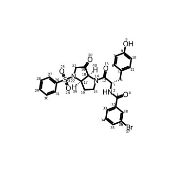 O=C(N[C@@H](Cc1ccc(O)cc1)C(=O)N1CC[C@@H]2[C@H]1C(=O)CN2S(=O)(=O)c1ccccc1)c1cccc(Br)c1